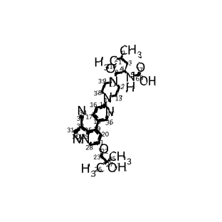 CC(C)C[C@@H](NC(=O)O)C(=O)N1CCN(c2ccc(-c3cc(OCC(C)(C)O)cn4ncc(C#N)c34)cn2)CC1